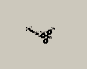 CCC(=C(c1ccc(OCCNCC=CC(=O)N(C)C)cc1)c1ccc(O)cc1OC)c1ccccc1